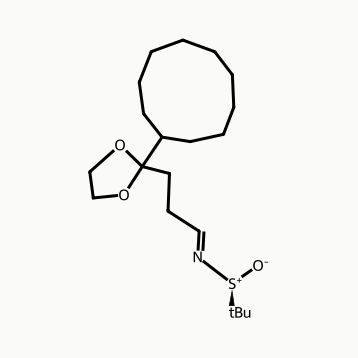 CC(C)(C)[S@+]([O-])/N=C/CCC1(C2CCCCCCCCC2)OCCO1